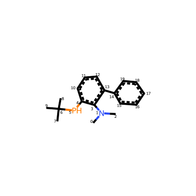 CN(C)c1c(PC(C)(C)C)cccc1-c1ccccc1